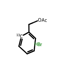 Br.CC(=O)OCc1cccc[13cH]1